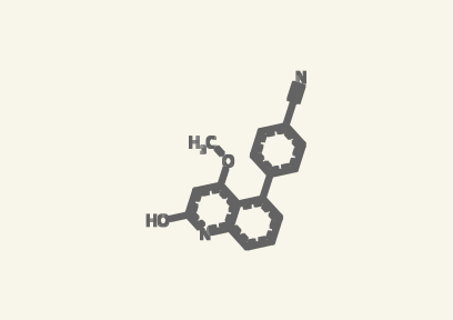 COc1cc(O)nc2cccc(-c3ccc(C#N)cc3)c12